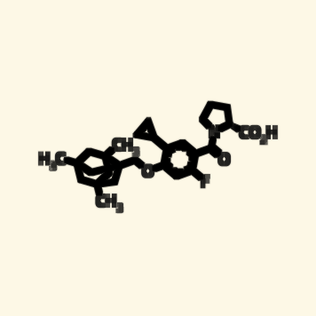 CC12CC3(C)CC(C)(C1)C(COc1cc(F)c(C(=O)N4CCC[C@H]4C(=O)O)cc1C1CC1)(C2)C3